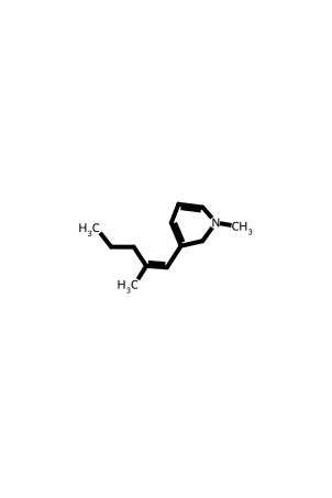 CCCC(C)=CC1=CC=CN(C)C1